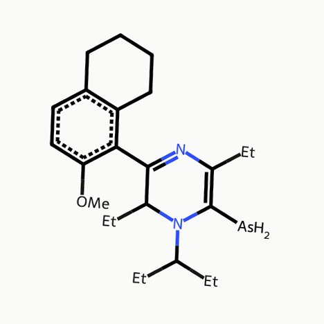 CCC1=C([AsH2])N(C(CC)CC)C(CC)C(c2c(OC)ccc3c2CCCC3)=N1